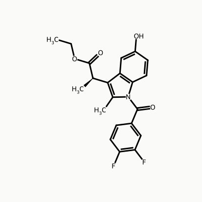 CCOC(=O)[C@H](C)c1c(C)n(C(=O)c2ccc(F)c(F)c2)c2ccc(O)cc12